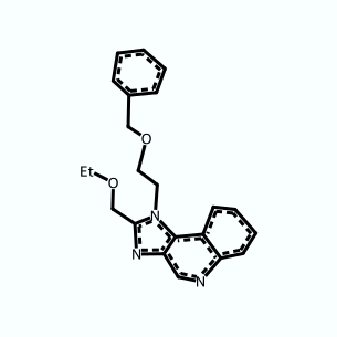 CCOCc1nc2cnc3ccccc3c2n1CCOCc1ccccc1